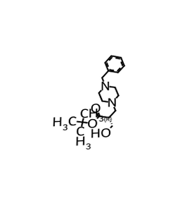 CC(C)(C)OC(=O)[C@@H](CO)CN1CCN(Cc2ccccc2)CC1